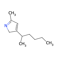 CCCCC(C)C1=CC(C)=NC1